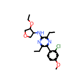 CCOC1COCC1Nc1nc(CC)c(-c2ccc(OC)cc2Cl)nc1CC